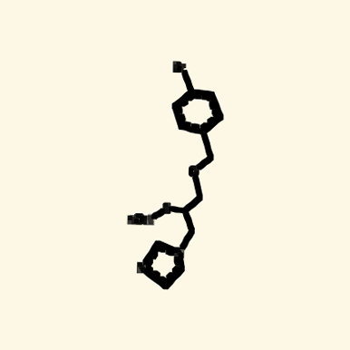 CCCCCCCCSC(COCc1ccc(Br)cc1)Cn1ccnc1